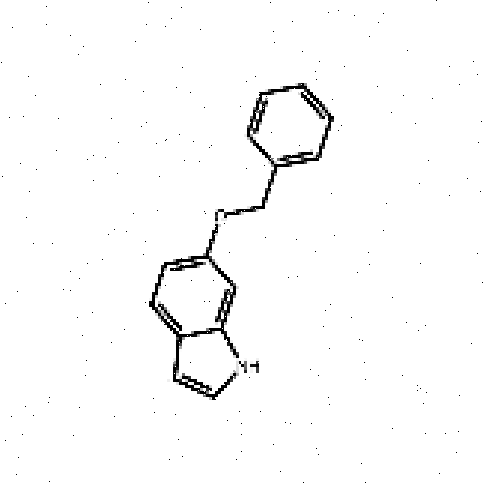 [c]1c[nH]c2cc(OCc3ccccc3)ccc12